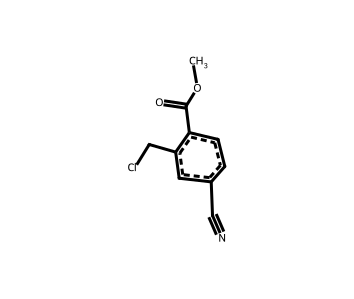 COC(=O)c1ccc(C#N)cc1CCl